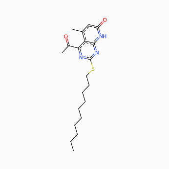 CCCCCCCCCCSc1nc(C(C)=O)c2c(C)cc(=O)[nH]c2n1